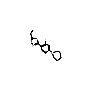 CCc1nnc(-c2ccc(N3CCCCC3)cc2F)[nH]1